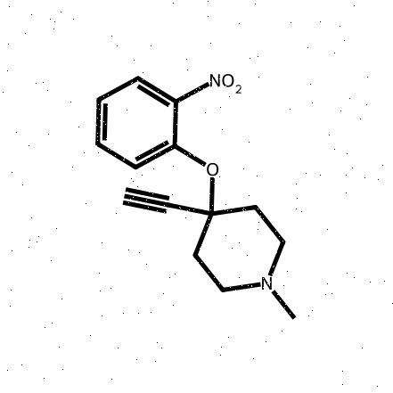 C#CC1(Oc2ccccc2[N+](=O)[O-])CCN(C)CC1